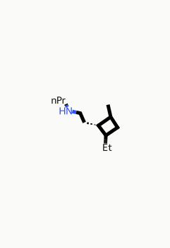 CCCNCC[C@@H]1C(C)CC1CC